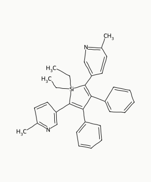 CC[Si]1(CC)C(c2ccc(C)nc2)=C(c2ccccc2)C(c2ccccc2)=C1c1ccc(C)nc1